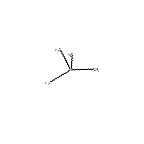 CCCCCCCCCCCCCCCCCCC[N+](CCCCCCCCCCCC)(CCCCCCCCCCCCCCCCCCC)CCCCCCCCCCCCCCCCCCC